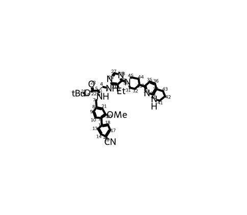 CCc1c(NC[C@H](NCc2ccc(-c3ccc(C#N)cc3)c(OC)c2)C(=O)OC(C)(C)C)ncnc1N1CCC(c2ccc3c(n2)NCCC3)CC1